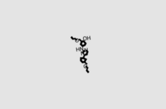 C=CCOCc1cccc(-c2ccnc(Nc3ccc(O)c(COCC=C)c3)n2)c1